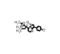 CC(C)CC(C)(c1ccnc2c(-c3ccc(Cl)cc3)cnn12)C1OC(C)O1